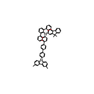 Cc1ccc2c(c1)c1cc(C)ccc1n2-c1ccc(-c2ccc(-c3ccc(N(c4ccc5c(c4)C(C)(C)c4ccccc4-5)c4c(-c5ccccc5)cccc4-c4ccccc4)cc3)cc2)cc1